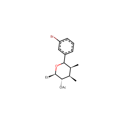 CC[C@H]1OC(c2cccc(Br)c2)[C@@H](C)[C@@H](C)[C@@H]1OC(C)=O